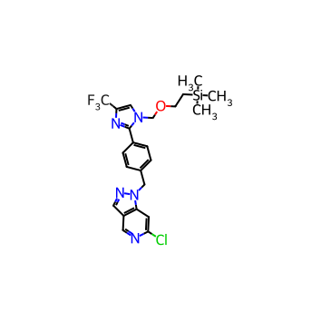 C[Si](C)(C)CCOCn1cc(C(F)(F)F)nc1-c1ccc(Cn2ncc3cnc(Cl)cc32)cc1